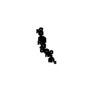 COc1ccc(-c2cnc3c(NC4(C)C=C(C)C(C(=O)N5CCC(C(=O)NCC(C)CN)CC5)=CC4)nccn23)cc1F